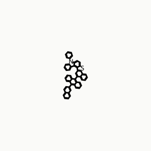 c1ccc(-n2c3ccccc3c3c4c(ccc32)sc2c3ccccc3c(-c3c5ccccc5c(-c5ccc6ccccc6c5)c5ccccc35)cc24)cc1